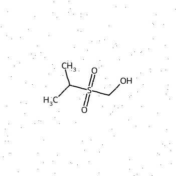 CC(C)S(=O)(=O)CO